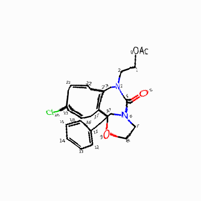 CC(=O)OCCN1C(=O)N2CCOC2(c2ccccc2)c2cc(Cl)ccc21